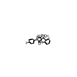 CC1=NN(c2ccc(F)cc2)C(=O)C12Nc1ccccc1C2(C)C